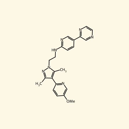 COc1ccc(-c2c(C)nn(CCNc3ccc(-c4cnccn4)cn3)c2C)nc1